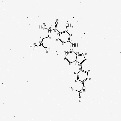 Cc1cc(Nc2nccn3c(-c4ccc(OC(F)F)cc4)cnc23)ccc1C(=O)N(C)CCN(C)C